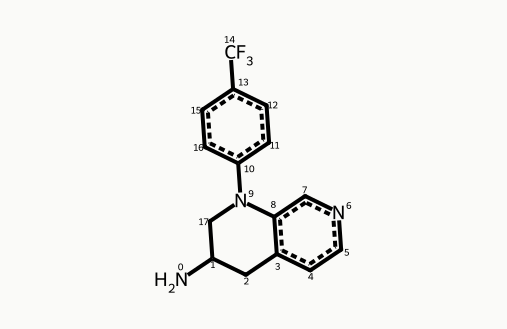 NC1Cc2ccncc2N(c2ccc(C(F)(F)F)cc2)C1